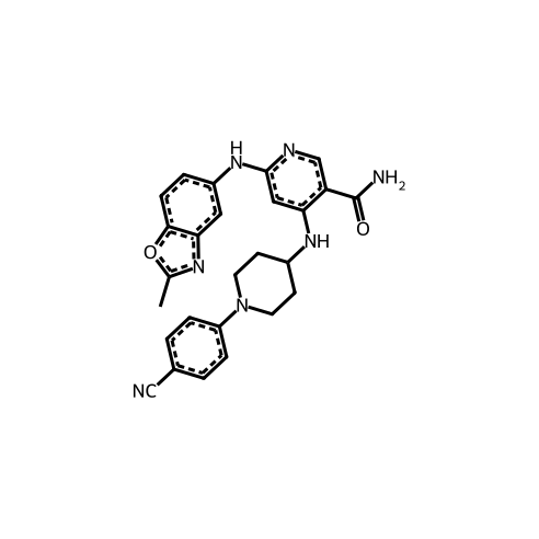 Cc1nc2cc(Nc3cc(NC4CCN(c5ccc(C#N)cc5)CC4)c(C(N)=O)cn3)ccc2o1